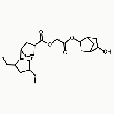 CCC1CC(CC)C2C3CC(CC3C(=O)OCC(=O)OC3CC4CC3CC4O)C12